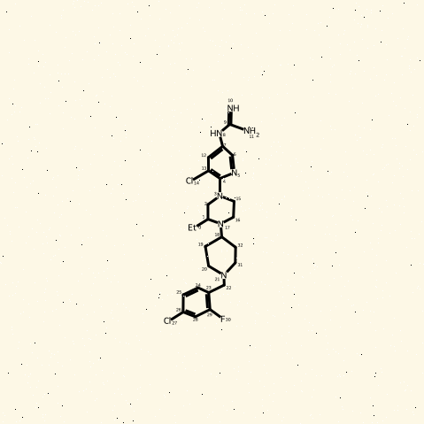 CCC1CN(c2ncc(NC(=N)N)cc2Cl)CCN1C1CCN(Cc2ccc(Cl)cc2F)CC1